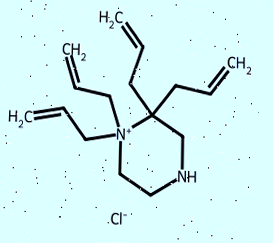 C=CCC1(CC=C)CNCC[N+]1(CC=C)CC=C.[Cl-]